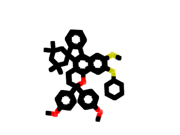 COc1ccc(C2(c3ccc(OC)cc3)C=Cc3c4c(c5cc(SC)c(SC6CCCCC6)cc5c3O2)-c2ccccc2C42CC(C)(C)CC(C)(C)C2)cc1